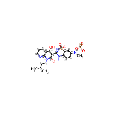 CC(C)CCn1c(=O)c(C2=NS(=O)(=O)c3cc(N(C)O[SH](=O)=O)ccc3N2)c(O)c2cccnc21